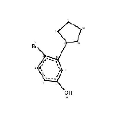 Oc1ccc(Br)c(C2CCCC2)c1